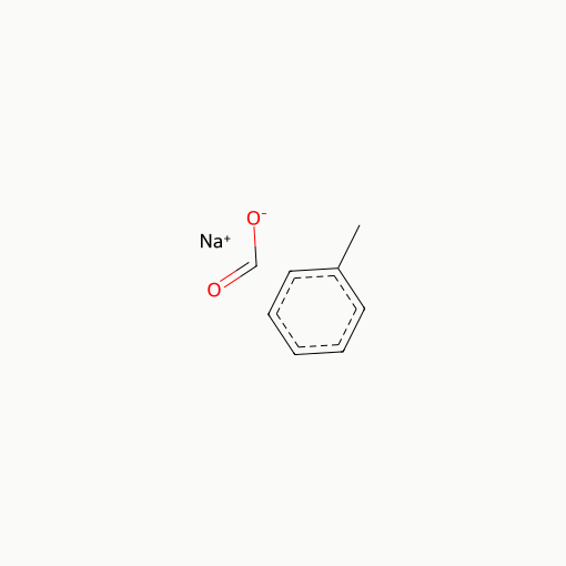 Cc1ccccc1.O=C[O-].[Na+]